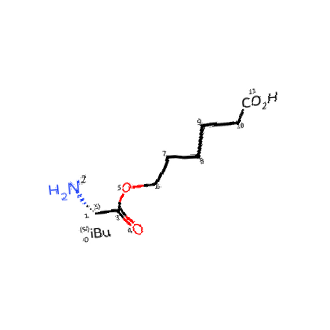 CC[C@H](C)[C@H](N)C(=O)OCCCCCC(=O)O